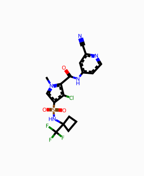 Cn1cc(S(=O)(=O)NC2(C(F)(F)F)CCC2)c(Cl)c1C(=O)Nc1ccnc(C#N)c1